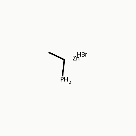 Br.CCP.[Zn]